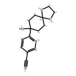 N#Cc1ccc(C2(O)CCC3(CC2)OCCO3)nc1